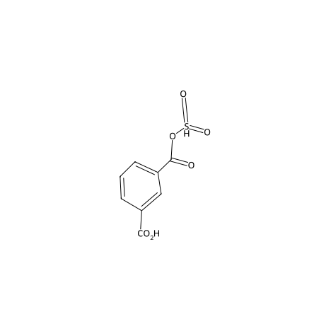 O=C(O)c1cccc(C(=O)O[SH](=O)=O)c1